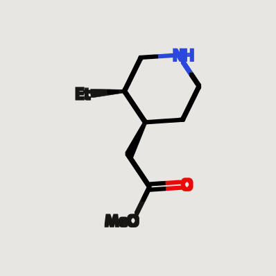 CC[C@H]1CNCC[C@H]1CC(=O)OC